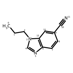 CCCn1cnc2ccc(C#N)cc21